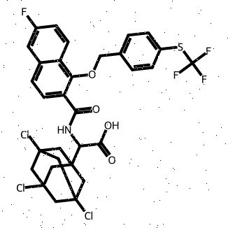 O=C(NC(C(=O)O)C12CC3(Cl)CC(Cl)(CC(Cl)(C3)C1)C2)c1ccc2cc(F)ccc2c1OCc1ccc(SC(F)(F)F)cc1